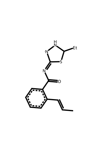 C/C=C/c1ccccc1C(=O)N=C1[N]NC(CC)S1